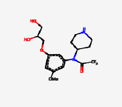 COc1cc(OCC(O)CO)cc(N(C(=O)C(F)(F)F)C2CCNCC2)c1